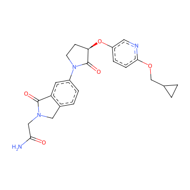 NC(=O)CN1Cc2ccc(N3CC[C@@H](Oc4ccc(OCC5CC5)nc4)C3=O)cc2C1=O